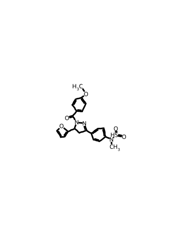 COc1ccc(C(=O)N2N=C(c3ccc(N(C)[SH](=O)=O)cc3)CC2c2ccco2)cc1